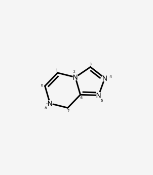 C1=Cn2cnnc2C[N]1